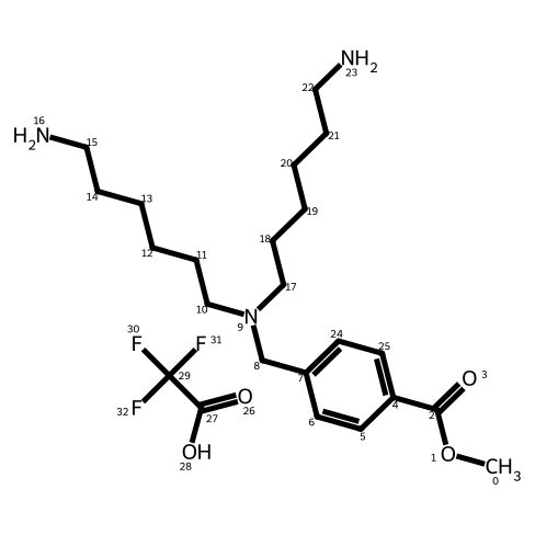 COC(=O)c1ccc(CN(CCCCCCN)CCCCCCN)cc1.O=C(O)C(F)(F)F